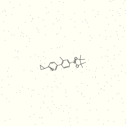 Cc1cc(B2OC(C)(C)C(C)(C)O2)ccc1-c1ccc(C2CC2)nc1